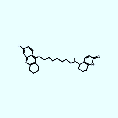 O=c1ccc2c([nH]1)CCCC2NCCCCCCCNc1c2c(nc3cc(Cl)ccc13)CCCC2